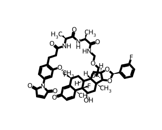 COc1cc(N2C(=O)C=CC2=O)ccc1CCC(=O)N[C@@H](C)C(=O)N[C@@H](C)C(=O)NCOCC(=O)[C@@]12O[C@H](c3cccc(F)c3)O[C@@H]1C[C@H]1[C@@H]3C[C@H](F)C4=CC(=O)C=C[C@]4(C)[C@@]3(F)[C@@H](O)C[C@@]12C